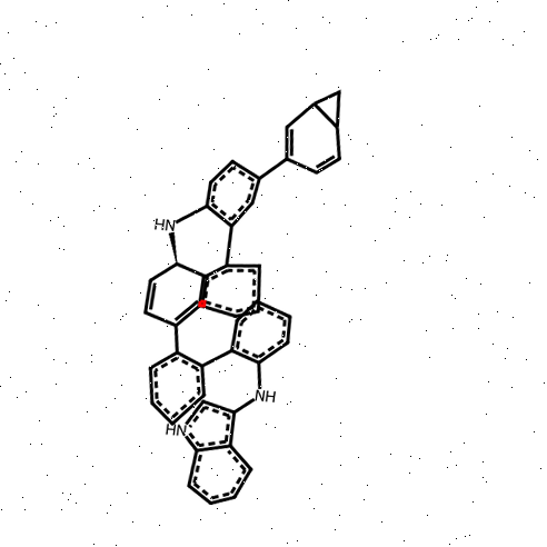 C1=CC2CC2C=C1c1ccc(N[C@@H]2C=CC(c3ccccc3-c3ccccc3Nc3c[nH]c4ccccc34)=CC2)c(-c2ccccc2)c1